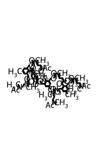 CC(=O)N(C)CCN(C)C(=O)OCc1cc(C)cc(COC(=O)N(C)CCN(C)C(C)=O)c1C(=O)N(C)CCN(C)C(=O)OCc1cc(C)cc(COC(=O)N(C)CCN(C)C(=O)c2c(COC(=O)N(C)CCN(C)C(C)=O)cc(C)cc2COC(=O)N(C)CCN(C)C(C)=O)c1C